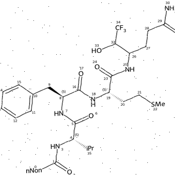 CCCCCCCCCC(=O)N[C@H](C(=O)N[C@@H](Cc1ccccc1)C(=O)N[C@@H](CCSC)C(=O)NC(CCC(N)=O)C(O)C(F)(F)F)C(C)C